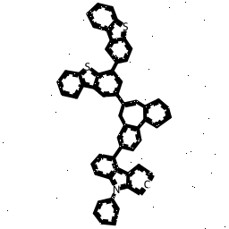 C1=C(c2cc(-c3ccc4sc5ccccc5c4c3)c3sc4ccccc4c3c2)Cc2cc(-c3cccc4c3c3ccccc3n4-c3ccccc3)ccc2-c2ccccc21